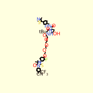 Cc1ncsc1-c1ccc(CNC(=O)[C@@H]2CC(O)CN2C(=O)[C@@H](NC(=O)COCCOCCOCCOc2ccc(N3C(=S)N(c4ccc(C#N)c(C(F)(F)F)c4)C(=O)C3(C)C)cc2F)C(C)(C)C)cc1